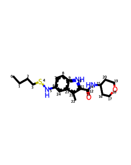 CCCCSNc1ccc2[nH]c(C(=O)NC3CCOCC3)c(C)c2c1